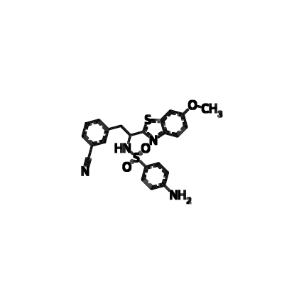 COc1ccc2nc(C(Cc3cccc(C#N)c3)NS(=O)(=O)c3ccc(N)cc3)sc2c1